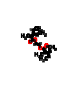 C=CC(C=C)=C(C)C(=O)OCCOC(=O)C(C)=C(C=C)C=C